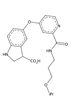 CC(C)OCCCNC(=O)c1cc(Oc2ccc3c(c2)C(C(=O)O)CN3)ccn1